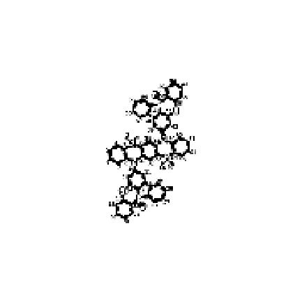 C[Si]1(C)c2ccccc2N(c2ccc3c(c2)Oc2ccccc2P3(=O)c2ccccc2)c2cc3c(cc21)N(c1ccc2c(c1)Oc1ccccc1P2(=O)c1ccccc1)c1ccccc1[Si]3(C)C